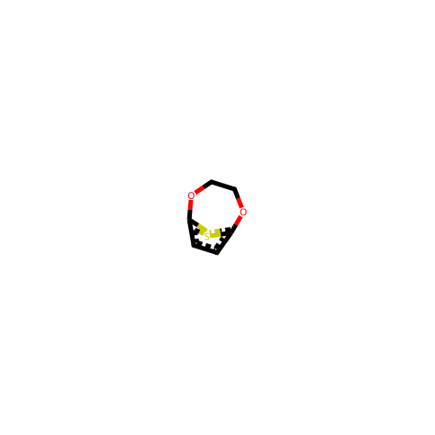 c1cc2sc1OCCO2